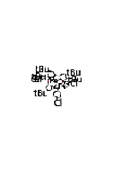 CC(C)C1C=C(C(C)(C)C)C=[C]1[Zr+2](=[C](c1ccc(Cl)cc1)c1ccc(Cl)cc1)[CH]1c2cc(C(C)(C)C)c(C(C)(C)C)cc2-c2cc(C(C)(C)C)c(C(C)(C)C)cc21.[Cl-].[Cl-]